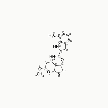 COC(=O)CC(NC(=O)C1Cc2cccc(C)c2N1)C1CCSC1